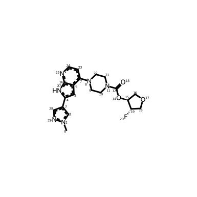 Cn1cc(-c2cc3c(N4CCN(C(=O)O[C@H]5COC[C@@H]5F)CC4)ccnc3[nH]2)cn1